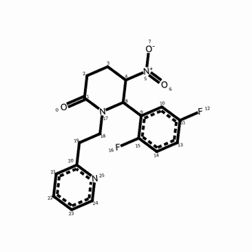 O=C1CCC([N+](=O)[O-])C(c2cc(F)ccc2F)N1CCc1ccccn1